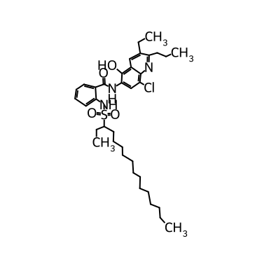 CCCCCCCCCCCCCC(CC)S(=O)(=O)Nc1ccccc1C(=O)Nc1cc(Cl)c2nc(CCC)c(CC)cc2c1O